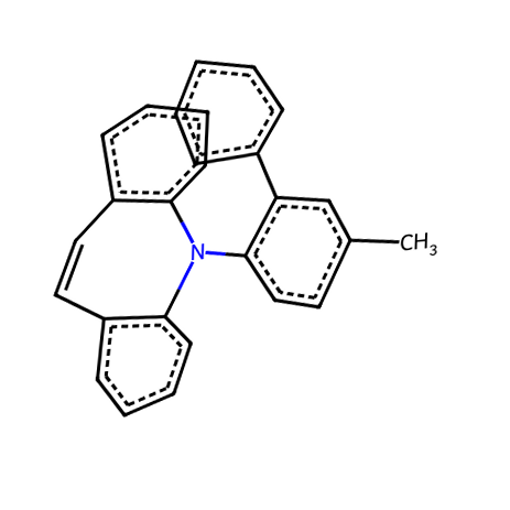 Cc1ccc(N2c3ccccc3C=Cc3ccccc32)c(-c2ccccc2)c1